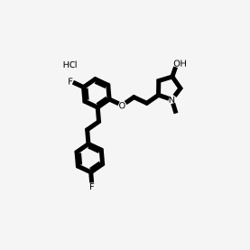 CN1CC(O)CC1CCOc1ccc(F)cc1CCc1ccc(F)cc1.Cl